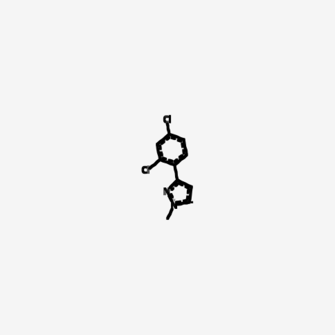 Cn1[c]cc(-c2ccc(Cl)cc2Cl)n1